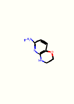 Nc1ccc2c(n1)NCCO2